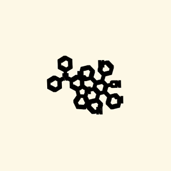 N#Cc1c(-c2cccnc2)c(-c2cccnc2)c(-n2c3ccccc3c3cc(N(c4ccccc4)c4ccccc4)ccc32)c(-c2cccnc2)c1-c1cccnc1